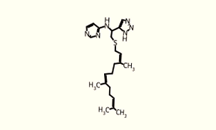 CC(C)=CCCC(C)=CCCC(C)=CCSCC(Nc1ccncn1)c1cnn[nH]1